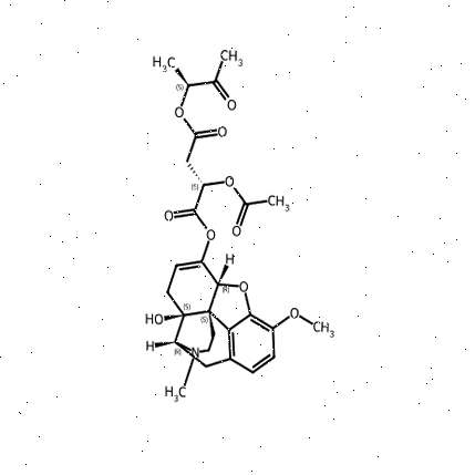 COc1ccc2c3c1O[C@H]1C(OC(=O)[C@H](CC(=O)O[C@@H](C)C(C)=O)OC(C)=O)=CC[C@@]4(O)[C@@H](C2)N(C)CC[C@]314